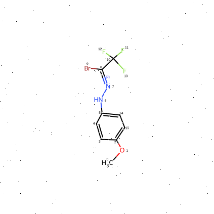 COc1ccc(N/N=C(\Br)C(F)(F)F)cc1